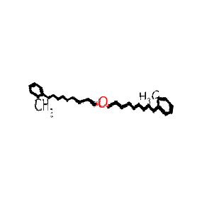 Cc1ccccc1CCCCCCCCCOCCCCCCCCCc1ccccc1C